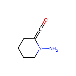 NN1CCCCC1=C=O